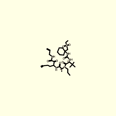 C#CCCC(NC(=O)[C@H](C)N(CCC)C(=O)[C@@H](NC(=O)NC1(CS(=O)(=O)CC)CCCCC1)C(C)(C)C)C(=O)C(=O)NCC=C